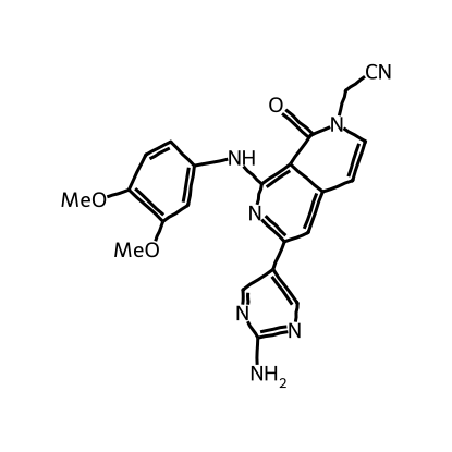 COc1ccc(Nc2nc(-c3cnc(N)nc3)cc3ccn(CC#N)c(=O)c23)cc1OC